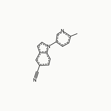 Cc1ccc(-n2ccc3cc(C#N)ccc32)cn1